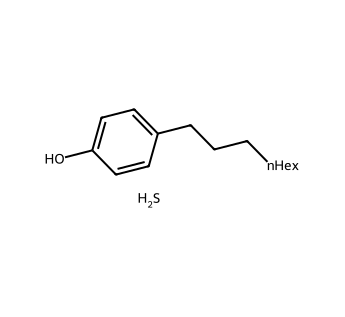 CCCCCCCCCc1ccc(O)cc1.S